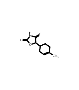 CC1=CCC(C2OC(=O)NC2=O)CC1